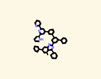 Cc1cc(-c2ccccc2)cc2nc(-c3cc(-c4ccccc4)cc(-c4cccc(-c5cc(-c6ccccn6)nc(C6C=CC=CN6)c5)c4)c3)nc(-c3ccccc3)c12